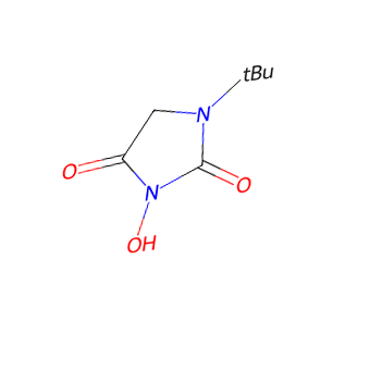 CC(C)(C)N1CC(=O)N(O)C1=O